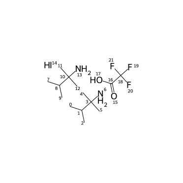 CC(C)C(C)(C)N.CC(C)C(C)(C)N.I.O=C(O)C(F)(F)F